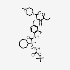 CCC(=O)N[C@H](Cc1ccc(NC(=O)[C@](C)(SNC(=O)OC(C)(C)C)C2CCCCCC2)c(F)c1)C(=O)N1CCN(C)CC1